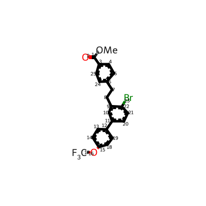 COC(=O)c1ccc(CCc2cc(-c3ccc(OC(F)(F)F)cc3)ccc2Br)cc1